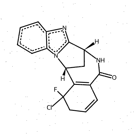 O=C1N[C@@H]2C[C@H](C3=C1C=CCC3(F)Cl)n1c2nc2ccccc21